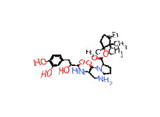 CC[C@@H]1CCC(C)(OC(=O)C2CCCN2C(=O)C(CN)NC(=O)C(O)Cc2ccc(O)c(O)c2)C1(C)C